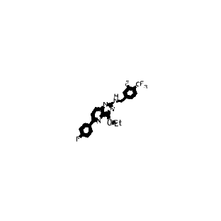 CCOc1nc(NCc2ccc(C(F)(F)F)c(F)c2)nc2ccc(-c3ccc(F)cc3)nc12